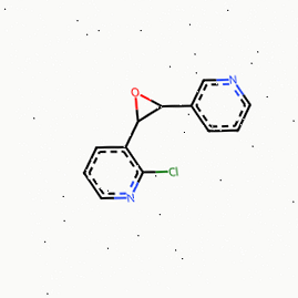 Clc1ncccc1C1OC1c1cccnc1